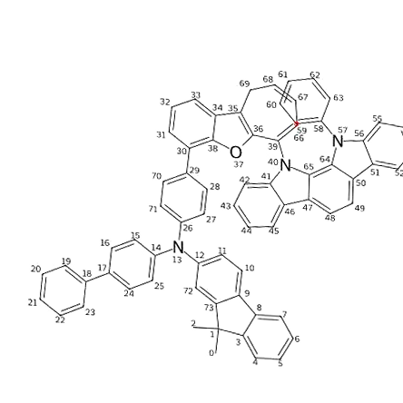 CC1(C)c2ccccc2-c2ccc(N(c3ccc(-c4ccccc4)cc3)c3ccc(-c4cccc5c6c(oc45)C(n4c5ccccc5c5ccc7c8ccccc8n(-c8ccccc8)c7c54)=CC=CC6)cc3)cc21